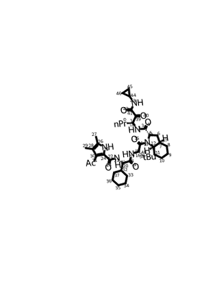 CCC[C@H](NC(=O)[C@@H]1C[C@@H]2CCCC[C@@H]2N1C(=O)[C@@H](NC(=O)[C@@H](NC(=O)c1[nH]c(C)c(C)c1C(C)=O)C1CCCCC1)C(C)(C)C)C(=O)C(=O)NC1CC1